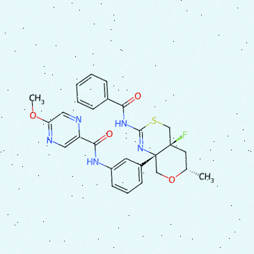 COc1cnc(C(=O)Nc2cccc([C@]34CO[C@@H](C)C[C@@]3(F)CSC(NC(=O)c3ccccc3)=N4)c2)cn1